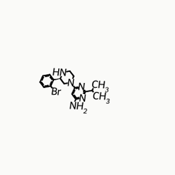 CC(C)c1nc(N)cc(N2CCN[C@H](c3ccccc3Br)C2)n1